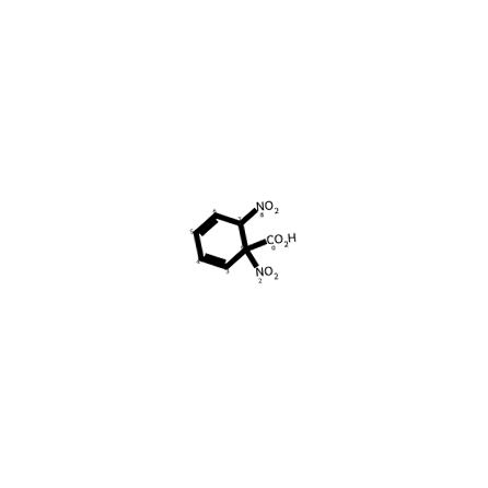 O=C(O)C1([N+](=O)[O-])C=CC=CC1[N+](=O)[O-]